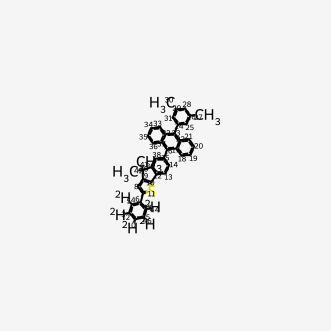 [2H]c1c([2H])c([2H])c(-c2cc3c(s2)-c2ccc(-c4c5ccccc5c(-c5cc(C)cc(C)c5)c5ccccc45)cc2C3(C)C)c([2H])c1[2H]